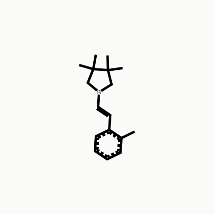 Cc1ccccc1/C=C/B1CC(C)(C)C(C)(C)C1